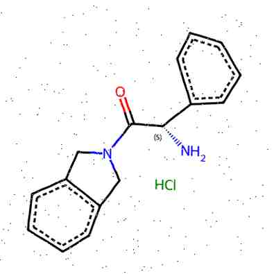 Cl.N[C@H](C(=O)N1Cc2ccccc2C1)c1ccccc1